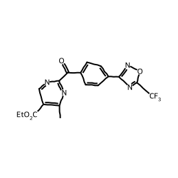 CCOC(=O)c1cnc(C(=O)c2ccc(-c3noc(C(F)(F)F)n3)cc2)nc1C